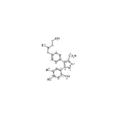 CCN(CCO)Cc1ccc(-c2c(C(=O)O)nnn2-c2cc(C(C)C)c(O)cc2O)cc1